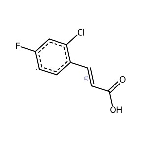 O=C(O)/C=C/c1c[c]c(F)cc1Cl